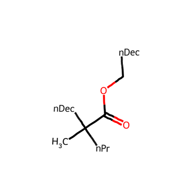 CCCCCCCCCCCOC(=O)C(C)(CCC)CCCCCCCCCC